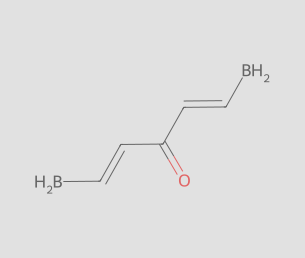 B/C=C/C(=O)/C=C/B